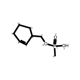 CP(=O)(O)OCC1C=CCCC1